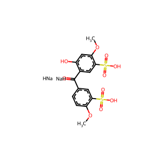 COc1ccc(C(=O)c2cc(S(=O)(=O)O)c(OC)cc2O)cc1S(=O)(=O)O.[NaH].[NaH]